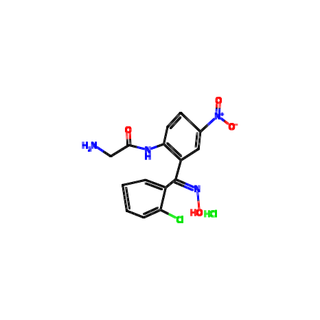 Cl.NCC(=O)Nc1ccc([N+](=O)[O-])cc1/C(=N/O)c1ccccc1Cl